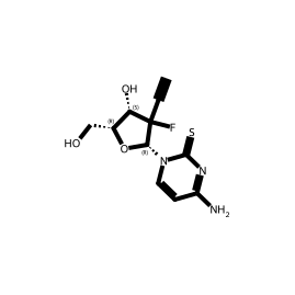 C#CC1(F)[C@@H](O)[C@@H](CO)O[C@H]1n1ccc(N)nc1=S